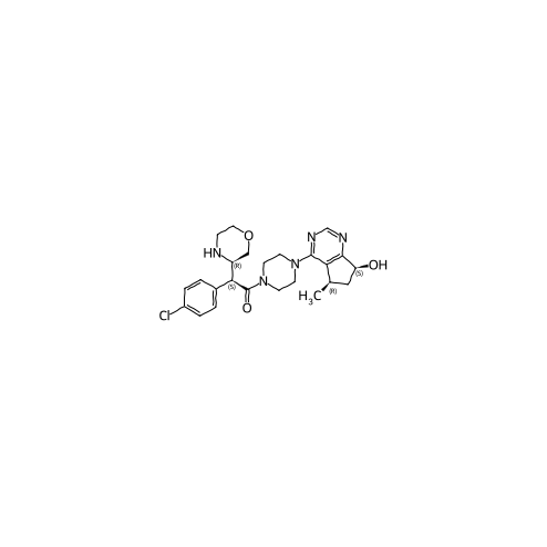 C[C@@H]1C[C@H](O)c2ncnc(N3CCN(C(=O)[C@@H](c4ccc(Cl)cc4)[C@@H]4COCCN4)CC3)c21